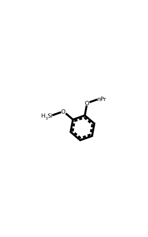 CCCOc1ccccc1O[SiH3]